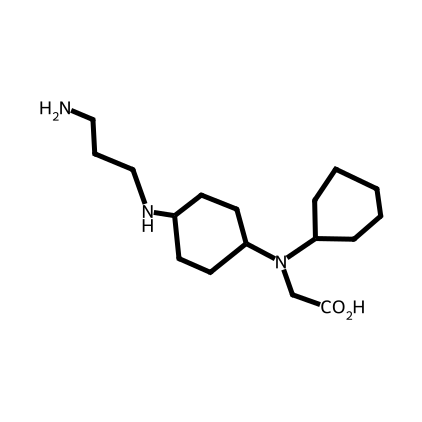 NCCCNC1CCC(N(CC(=O)O)C2CCCCC2)CC1